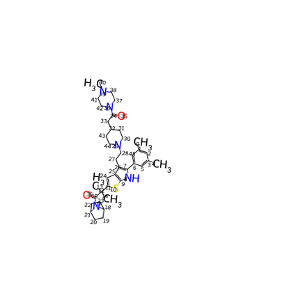 Cc1cc(C)cc(-c2[nH]c3sc(C(C)(C)C(=O)N4C5CCC4CC5)cc3c2CCN2CCC(CC(=O)N3CCN(C)CC3)CC2)c1